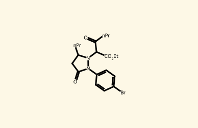 CCCC(=O)C(C(=O)OCC)N1C(CCC)CC(=O)N1c1ccc(Br)cc1